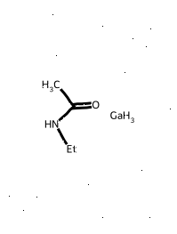 CCNC(C)=O.[GaH3]